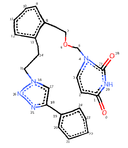 O=c1ccn(COCc2ccccc2CCn2cc(-c3ccccc3)nn2)c(=O)[nH]1